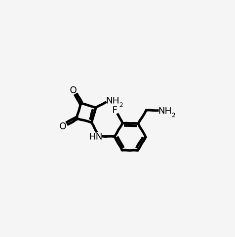 NCc1cccc(Nc2c(N)c(=O)c2=O)c1F